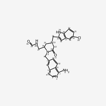 Nc1ncnc2cc(CN3C(=O)CN(Cc4cc5cc(Cl)ccc5[nH]4)CC3CNC=O)ccc12